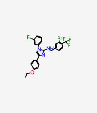 CCOc1ccc(-c2cn(-c3cccc(F)c3)c(NCc3ccc(C(F)(F)F)c(Br)c3)n2)cc1